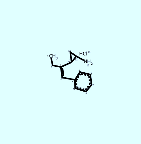 CCC(=Cc1ccccc1)C1CC1N.Cl